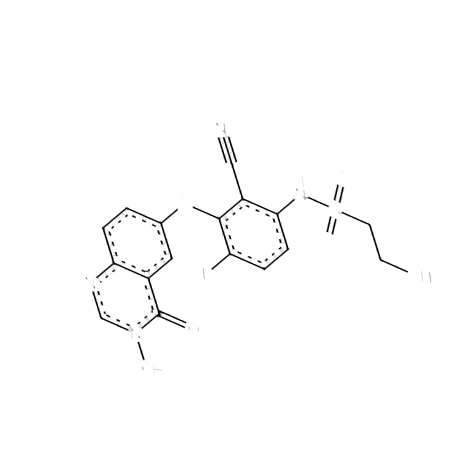 CCCS(=O)(=O)Nc1ccc(F)c(Oc2ccc3ncn(C)c(=O)c3c2)c1C#N